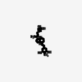 C=C1[C@H](O)CC(=CC=C2CCC[C@]3(C)[C@@H](C(C)CCN4CC(O)(C(F)(F)F)C4)CC[C@@H]23)C[C@H]1O